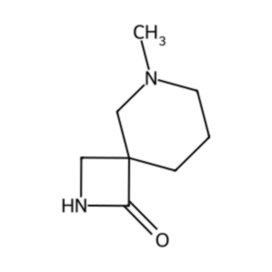 CN1CCCC2(CNC2=O)C1